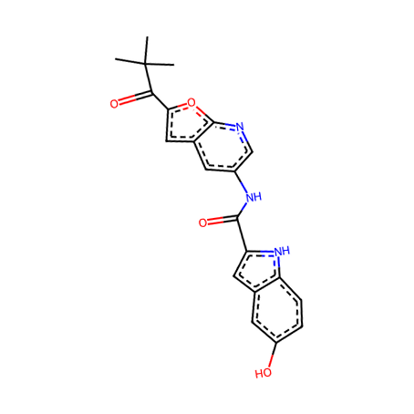 CC(C)(C)C(=O)c1cc2cc(NC(=O)c3cc4cc(O)ccc4[nH]3)cnc2o1